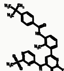 Cc1c(NC(=O)c2ccc(C(C)(C)C)cc2)cccc1-c1cc(Nc2ccnc(S(C)(=O)=O)n2)c(=O)n(C)n1